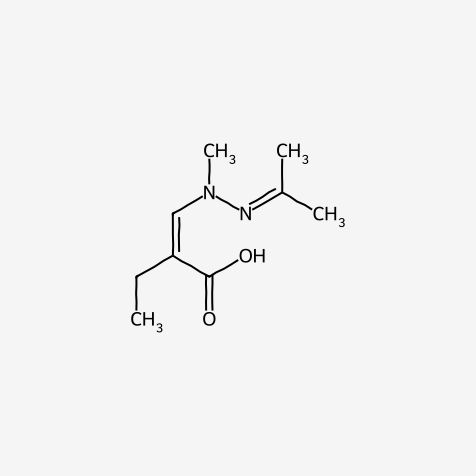 CCC(=CN(C)N=C(C)C)C(=O)O